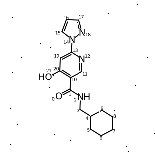 O=C(NCC1CCCCC1)c1cnc(-n2cccn2)cc1O